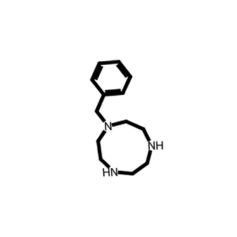 c1ccc(CN2CCNCCNCC2)cc1